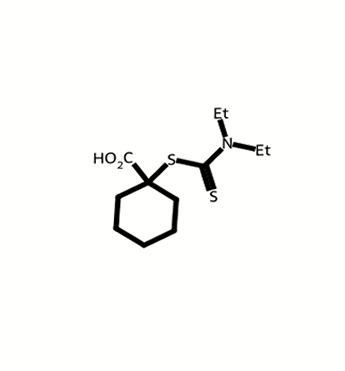 CCN(CC)C(=S)SC1(C(=O)O)CCCCC1